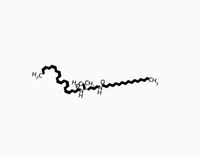 CC/C=C\C/C=C\C/C=C\C/C=C\C/C=C\C/C=C\CCC(=O)N[C@@H](CCCCNC(=O)CCCCCCCCCCCCCCC)C(C)C